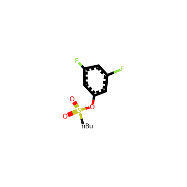 CCCCS(=O)(=O)Oc1cc(F)cc(F)c1